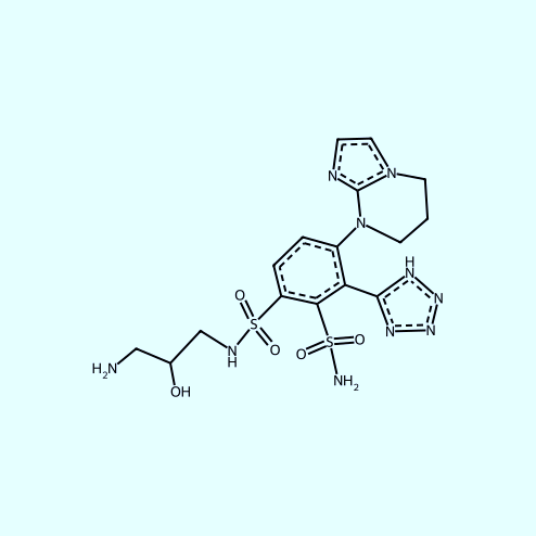 NCC(O)CNS(=O)(=O)c1ccc(N2CCCn3ccnc32)c(-c2nnn[nH]2)c1S(N)(=O)=O